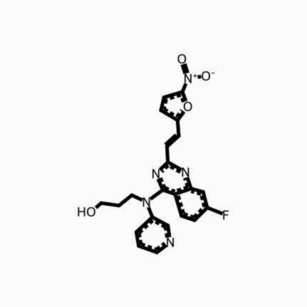 O=[N+]([O-])c1ccc(C=Cc2nc(N(CCCO)c3cccnc3)c3ccc(F)cc3n2)o1